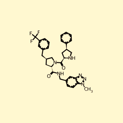 Cn1nnc2cc(CNC(=O)[C@@H]3C[C@@H](Cc4cccc(C(F)(F)F)c4)CN3C(=O)[C@H]3C[C@@H](c4ccccc4)CN3)ccc21